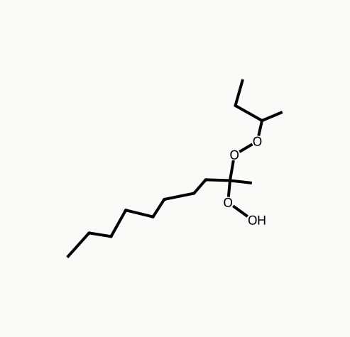 CCCCCCCCC(C)(OO)OOC(C)CC